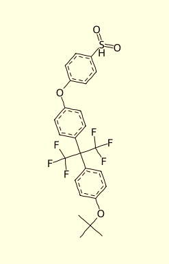 CC(C)(C)Oc1ccc(C(c2ccc(Oc3ccc([SH](=O)=O)cc3)cc2)(C(F)(F)F)C(F)(F)F)cc1